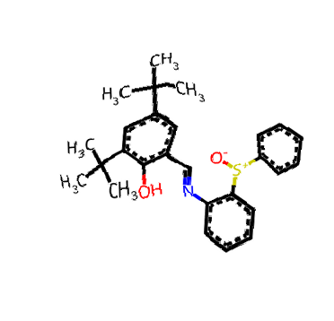 CC(C)(C)c1cc(/C=N/c2ccccc2[S+]([O-])c2ccccc2)c(O)c(C(C)(C)C)c1